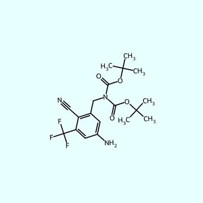 CC(C)(C)OC(=O)N(Cc1cc(N)cc(C(F)(F)F)c1C#N)C(=O)OC(C)(C)C